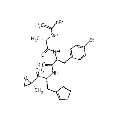 C=C(CCC)N[C@@H](C)C(=O)NC(Cc1ccc(CC)cc1)C(=C)N[C@@H](CC1=CCCC1)C(=C)[C@@]1(C)CO1